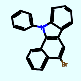 Brc1cc2c3ccccc3n(-c3ccccc3)c2c2ccccc12